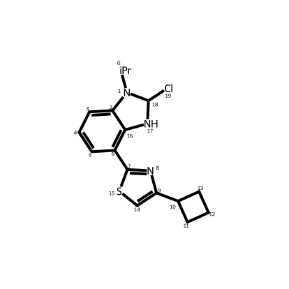 CC(C)N1c2cccc(-c3nc(C4CCC4)cs3)c2NC1Cl